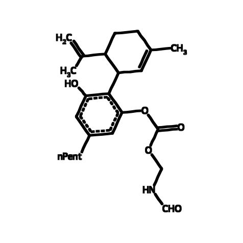 C=C(C)C1CCC(C)=CC1c1c(O)cc(CCCCC)cc1OC(=O)OCNC=O